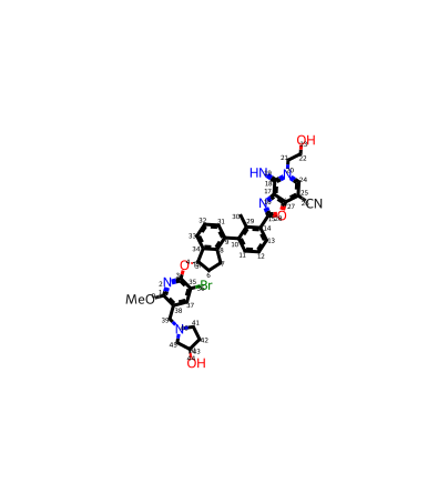 COc1nc(O[C@H]2CCc3c(-c4cccc(-c5nc6c(=N)n(CCO)cc(C#N)c6o5)c4C)cccc32)c(Br)cc1CN1CC[C@@H](O)C1